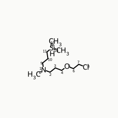 CN(CCCOCCCl)CCC[SiH](C)C